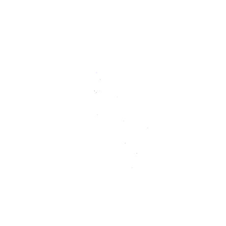 CCOC(=O)/C(C)=N/Nc1ccc(C(=O)N2CCOCC2)cc1